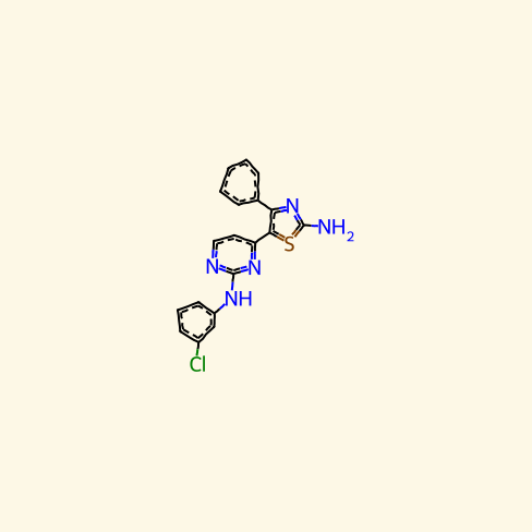 Nc1nc(-c2ccccc2)c(-c2ccnc(Nc3cccc(Cl)c3)n2)s1